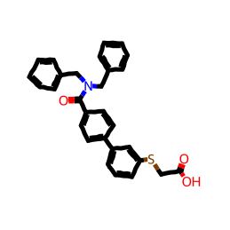 O=C(O)CSc1cccc(-c2ccc(C(=O)N(Cc3ccccc3)Cc3ccccc3)cc2)c1